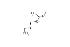 BCOCO/C(B)=C/C